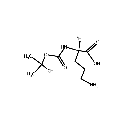 [2H][C@@](CCCN)(NC(=O)OC(C)(C)C)C(=O)O